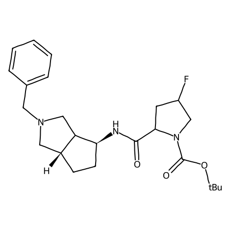 CC(C)(C)OC(=O)N1CC(F)CC1C(=O)N[C@H]1CC[C@@H]2CN(Cc3ccccc3)CC21